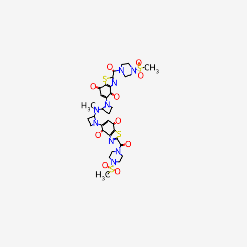 CN(C1CCN1C1=CC(=O)c2sc(C(=O)N3CCN(S(C)(=O)=O)CC3)nc2C1=O)C1CCN1C1=CC(=O)c2sc(C(=O)N3CCN(S(C)(=O)=O)CC3)nc2C1=O